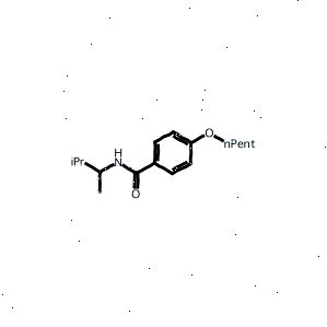 CCCCCOc1ccc(C(=O)NC(C)C(C)C)cc1